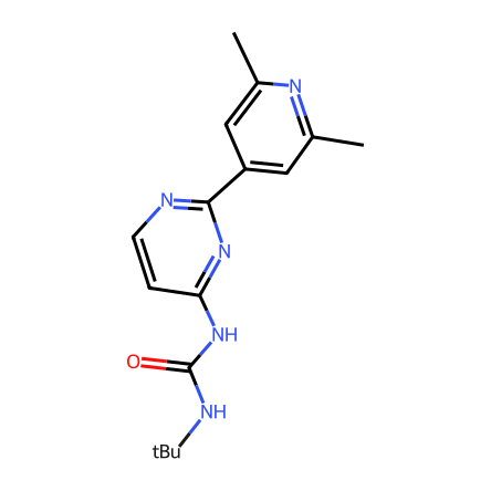 Cc1cc(-c2nccc(NC(=O)NC(C)(C)C)n2)cc(C)n1